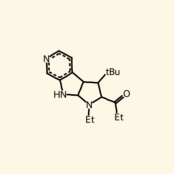 CCC(=O)C1C(C(C)(C)C)C2c3ccncc3NC2N1CC